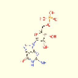 Nc1nc2c(ncn2[C@H]2O[C@@H](COP(=O)(O)O)[C@H](O)[C@@H]2O)c(=O)[nH]1